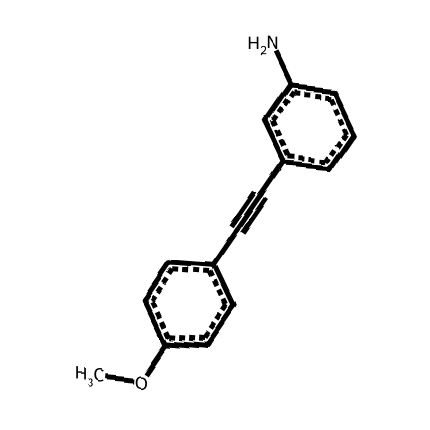 COc1ccc(C#Cc2cccc(N)c2)cc1